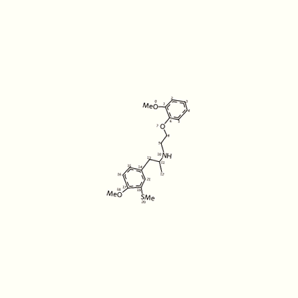 COc1ccccc1OCCNC(C)Cc1ccc(OC)c(SC)c1